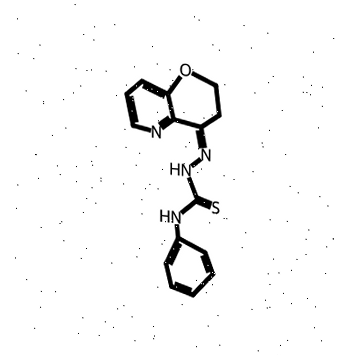 S=C(N/N=C1/CCOc2cccnc21)Nc1ccccc1